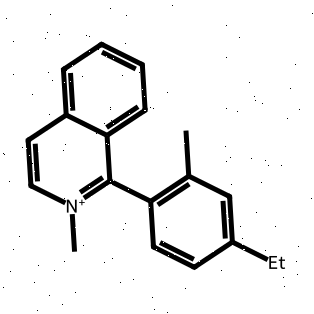 CCc1ccc(-c2c3ccccc3cc[n+]2C)c(C)c1